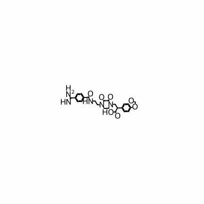 N=C(N)c1ccc(C(=O)NCCN2CCN(CC(C(=O)O)c3ccc4c(c3)OCO4)C(=O)C2=O)cc1